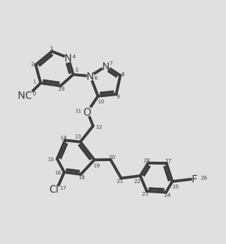 N#Cc1ccnc(-n2nccc2OCc2ccc(Cl)cc2CCc2ccc(F)cc2)c1